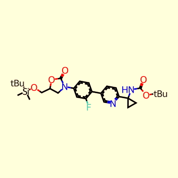 CC(C)(C)OC(=O)NC1(c2ccc(-c3ccc(N4CC(CO[Si](C)(C)C(C)(C)C)OC4=O)cc3F)cn2)CC1